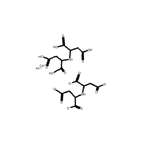 O=C(O)CC(NC(CC(=O)O)C(=O)O)C(=O)O.O=C([O-])CC(NC(CC(=O)[O-])C(=O)[O-])C(=O)[O-].[Ca+2].[Fe+2]